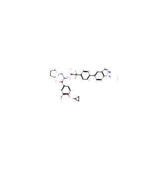 Cn1ncc2cc(-c3ccc(C(F)(F)C(=O)NC(CN4CCCC4)C(O)c4ccc(OC5CC5)c(Cl)c4)cc3)ccc21